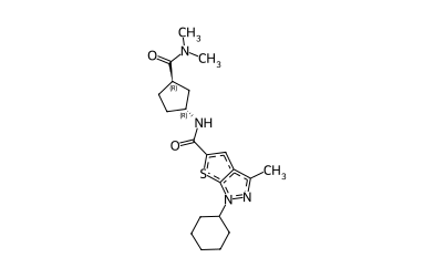 Cc1nn(C2CCCCC2)c2sc(C(=O)N[C@@H]3CC[C@@H](C(=O)N(C)C)C3)cc12